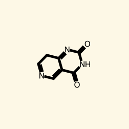 O=C1N=C2CC=NC=C2C(=O)N1